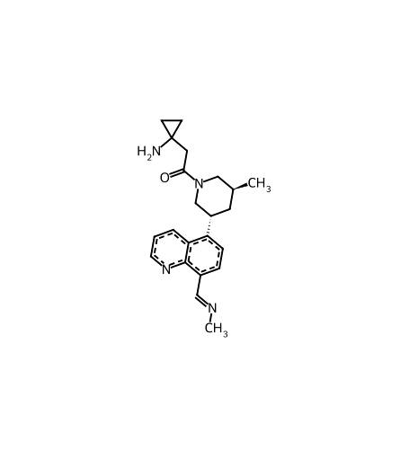 C/N=C/c1ccc([C@H]2C[C@H](C)CN(C(=O)CC3(N)CC3)C2)c2cccnc12